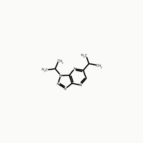 CC(C)c1cnc2nnn(C(C)C)c2n1